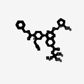 CN1CCC[C@H]1COc1nc2c(c(N3CCN(C(=O)OCc4ccccc4)[C@H](CC#N)C3)n1)CCN(C(=O)OC(C)(C)C)C2